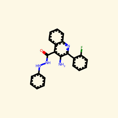 Nc1c(-c2ccccc2F)nc2ccccc2c1C(=O)NNc1ccccc1